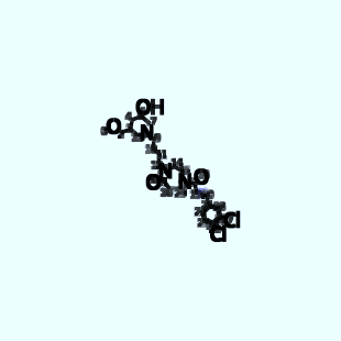 COCC1CC(O)CN(CCCCN2CCN(C(=O)/C=C/c3ccc(Cl)c(Cl)c3)CCC2=O)C1